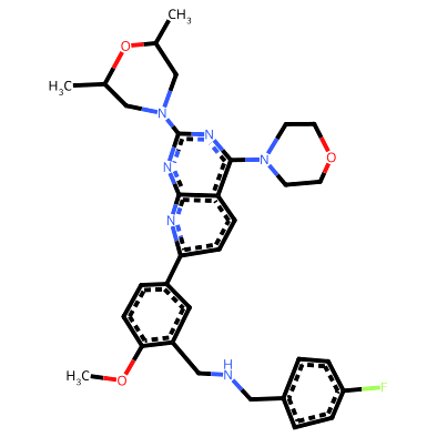 COc1ccc(-c2ccc3c(N4CCOCC4)nc(N4CC(C)OC(C)C4)nc3n2)cc1CNCc1ccc(F)cc1